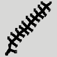 O=C(Cl)OC(F)(F)C(F)(F)C(F)(F)C(F)(F)C(F)(F)C(F)(F)C(F)(F)C(F)(F)C(F)(F)C(F)(F)F